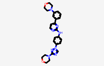 c1cc(-c2ccnc(Nc3ccc(-n4cnc(N5CCOCC5)n4)cc3)n2)cc(N2CCOCC2)c1